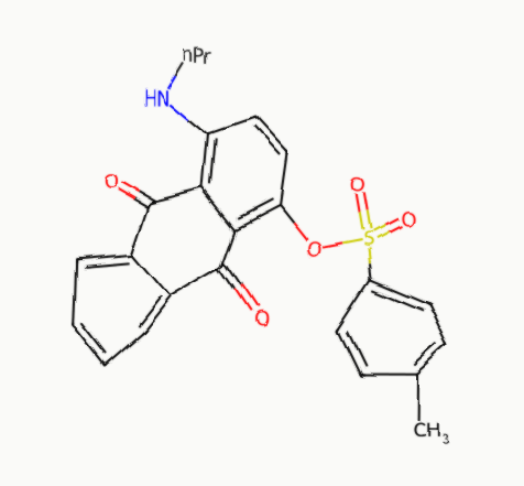 CCCNc1ccc(OS(=O)(=O)c2ccc(C)cc2)c2c1C(=O)c1ccccc1C2=O